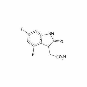 O=C(O)CC1C(=O)Nc2cc(F)cc(F)c21